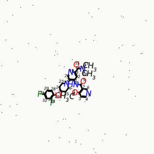 COc1ccncc1C(=O)Nc1cc(C(=O)N(C)C)ncc1N1CCC(Oc2ccc(F)cc2F)CC1